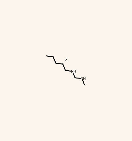 CCC[C@H](I)CNCNC